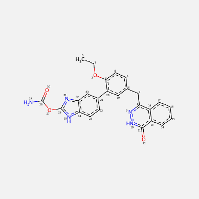 CCOc1ccc(Cc2n[nH]c(=O)c3ccccc23)cc1-c1ccc2[nH]c(OC(N)=O)nc2c1